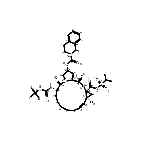 CC(C)S(=O)(=O)NC(=O)[C@@]12C[C@H]1/C=C\CCCCC[C@H](NC(=O)OC(C)(C)C)C(=O)N1C[C@H](OC(=O)N3CCc4ccccc4C3)C[C@H]1C(=O)N2